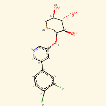 O[C@@H]1[C@@H](O)[C@@H](Oc2cncc(-c3ccc(F)c(F)c3)c2)SC[C@H]1O